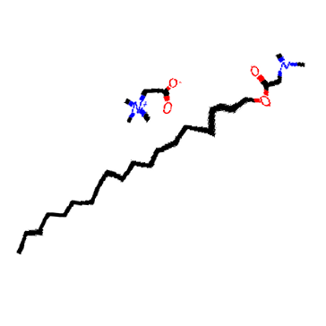 CCCCCCCCCCCCCCCCCCOC(=O)CN(C)C.C[N+](C)(C)CC(=O)[O-]